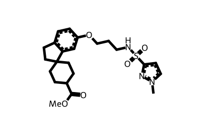 COC(=O)C1CCC2(CCc3ccc(OCCCNS(=O)(=O)c4ccn(C)n4)cc32)CC1